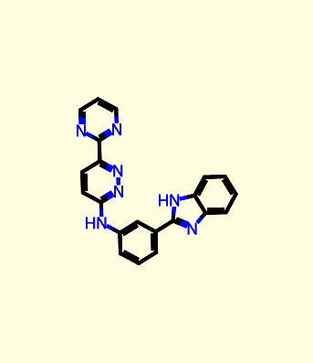 c1cnc(-c2ccc(Nc3cccc(-c4nc5ccccc5[nH]4)c3)nn2)nc1